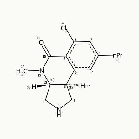 CCCc1cc(Cl)c2c(c1)[C@H]1CNC[C@@H]1N(C)C2=O